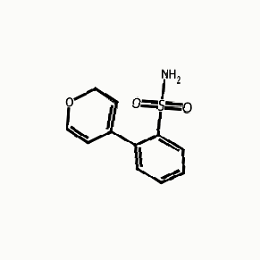 NS(=O)(=O)c1ccccc1C1=CCOC=C1